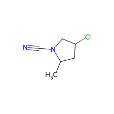 CC1CC(Cl)CN1C#N